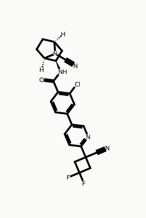 N#CN1[C@H]2CC[C@@H]1[C@H](NC(=O)c1ccc(-c3ccc(C4(C#N)CC(F)(F)C4)nc3)cc1Cl)C2